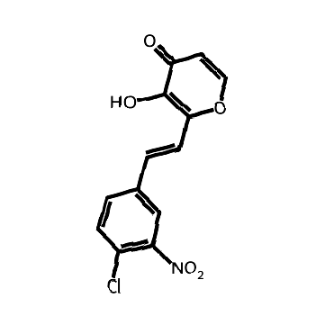 O=c1ccoc(C=Cc2ccc(Cl)c([N+](=O)[O-])c2)c1O